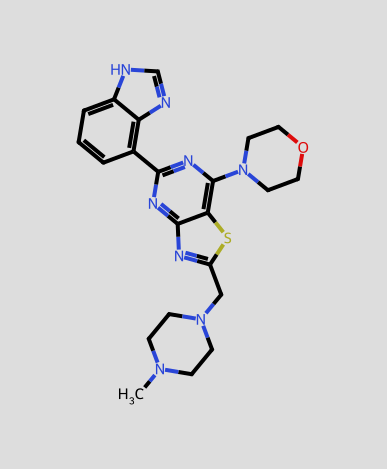 CN1CCN(Cc2nc3nc(-c4cccc5[nH]cnc45)nc(N4CCOCC4)c3s2)CC1